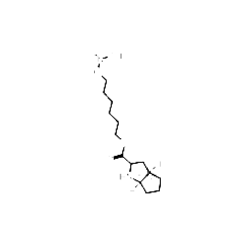 O=C(OCCCCCCON(O)O)C1C[C@@H]2CCC[C@@H]2N1